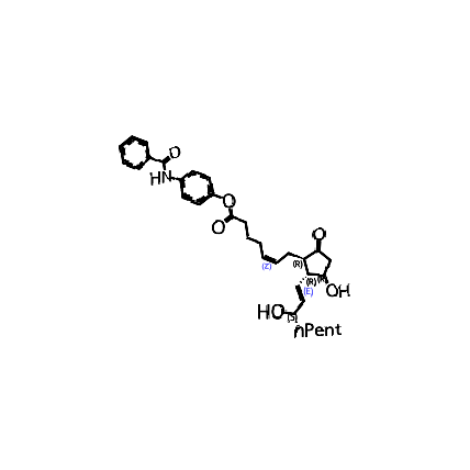 CCCCC[C@H](O)/C=C/[C@H]1[C@H](O)CC(=O)[C@@H]1C/C=C\CCCC(=O)Oc1ccc(NC(=O)c2ccccc2)cc1